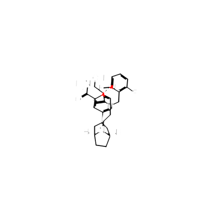 NC(=O)c1cccc([C@H]2C[C@H]3CC[C@@H](C2)N3CCN(Cc2c(F)cccc2F)C(=O)[C@H](O)CO)c1